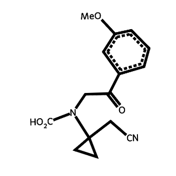 COc1cccc(C(=O)CN(C(=O)O)C2(CC#N)CC2)c1